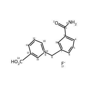 NC(=O)c1cccc(C[n+]2cccc(C(=O)O)c2)c1.[F-]